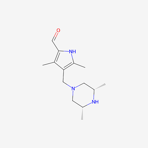 Cc1[nH]c(C=O)c(C)c1CN1C[C@@H](C)N[C@@H](C)C1